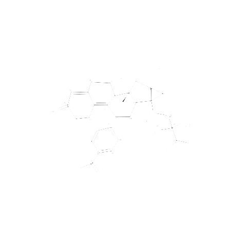 CC(=O)c1ccc([C@H]2C[C@@]3(C)[C@@H](C[C@H]4CC43O[SiH2]C(C)(C)C(C)C)[C@@H]3CCC4=CC(=O)CCC4=C32)cc1